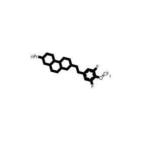 CCCC1CCC2C(CCC3CC(CCc4cc(F)c(OC(F)(F)F)c(F)c4)CCC32)C1